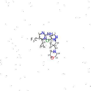 FC(F)(F)c1cnc(Nc2cnn(CC3(CN4CCOCC4)CC3)c2Cl)nc1C1CC1